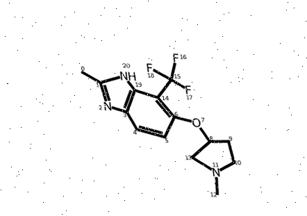 Cc1nc2ccc(OC3CCN(C)C3)c(C(F)(F)F)c2[nH]1